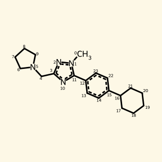 Cn1nc(CN2CCCC2)nc1-c1ccc(C2CCCCC2)cc1